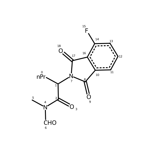 CCCC(C(=O)N(C)C=O)N1C(=O)c2cccc(F)c2C1=O